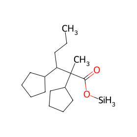 CCCC(C1CCCC1)C(C)(C(=O)O[SiH3])C1CCCC1